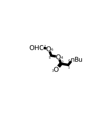 CCCCCC(=O)OCOC=O